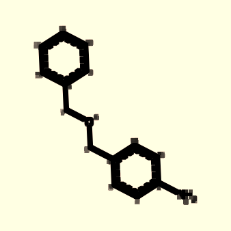 Nc1ccc(COCc2ccccc2)cc1